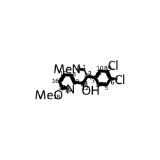 CNC[C@@H](c1ccc(Cl)c(Cl)c1)[C@@H](O)c1cccc(OC)n1